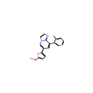 Cc1ccccc1-c1cc(-c2ccc(CO)o2)cn2ccnc12